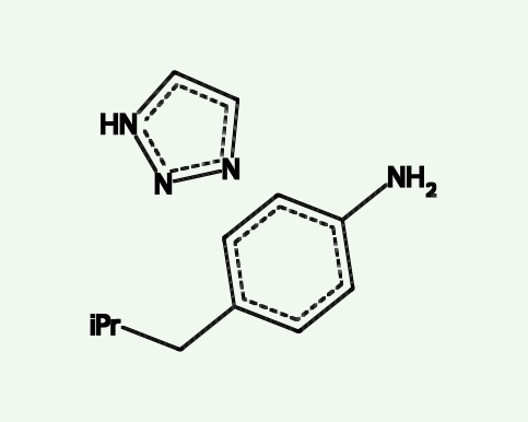 CC(C)Cc1ccc(N)cc1.c1c[nH]nn1